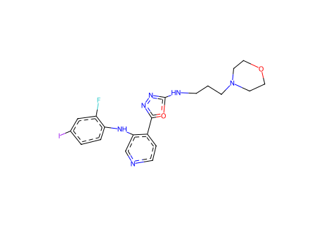 Fc1cc(I)ccc1Nc1cnccc1-c1nnc(NCCCN2CCOCC2)o1